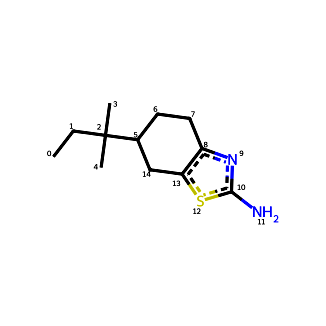 CCC(C)(C)C1CCc2nc(N)sc2C1